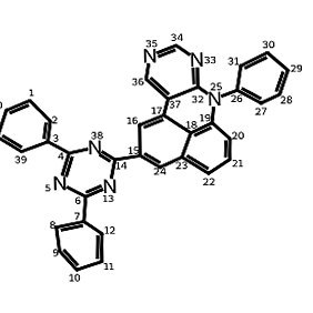 c1ccc(-c2nc(-c3ccccc3)nc(-c3cc4c5c(cccc5c3)N(c3ccccc3)c3ncncc3-4)n2)cc1